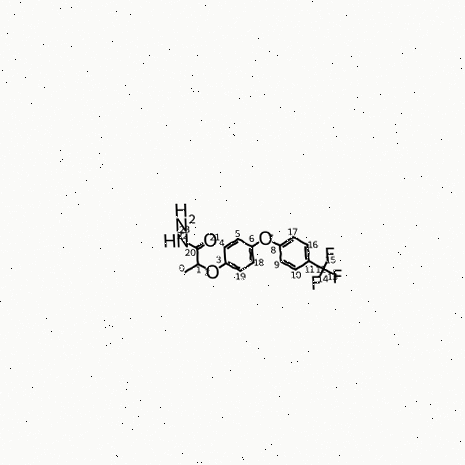 CC(Oc1ccc(Oc2ccc(C(F)(F)F)cc2)cc1)C(=O)NN